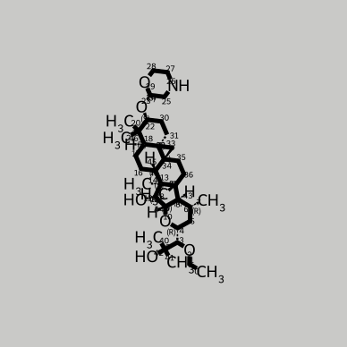 CCOC([C@H]1C[C@@H](C)[C@H]2[C@H](O1)[C@H](O)[C@@]1(C)[C@@H]3CC[C@H]4C(C)(C)[C@@H](O[C@H]5CNCCO5)CC[C@@]45C[C@@]35CC[C@]21C)C(C)(C)O